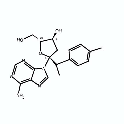 CC(c1ccc(I)cc1)[C@]1(n2cnc3c(N)ncnc32)C[C@H](O)[C@@H](CO)O1